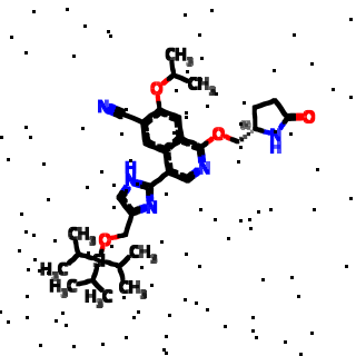 CC(C)Oc1cc2c(OC[C@@H]3CCC(=O)N3)ncc(-c3nc(CO[Si](C(C)C)(C(C)C)C(C)C)c[nH]3)c2cc1C#N